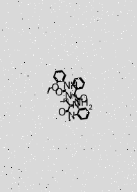 CCOc1ccccc1NC(=O)N([C@H](C)c1nc2ccccc2n(C)c1=O)[C@@H](C(N)=O)c1ccccc1